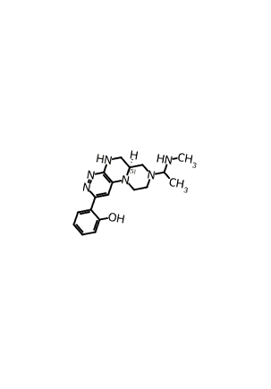 CNC(C)N1CCN2c3cc(-c4ccccc4O)nnc3NC[C@H]2C1